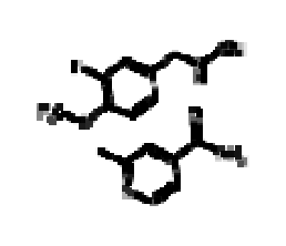 CC(C)(C)NCc1ccc(OC(F)(F)F)c(F)c1.Cc1cc(C(N)=O)ccn1